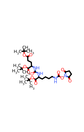 CC(C)(C)OC(=O)CCC(NC(=O)NC(CCCCNC(=O)ON1C(=O)CCC1=O)C(=O)OC(C)(C)C)C(=O)OC(C)(C)C